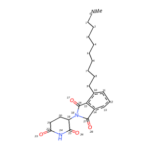 CNCCCCCCCCCc1cccc2c1C(=O)N(C1CCC(=O)NC1=O)C2=O